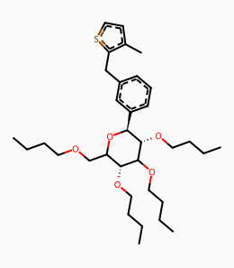 CCCCOCC1O[C@@H](c2cccc(Cc3sccc3C)c2)[C@H](OCCCC)C(OCCCC)[C@@H]1OCCCC